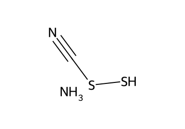 N.N#CSS